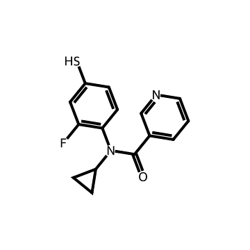 O=C(c1cccnc1)N(c1ccc(S)cc1F)C1CC1